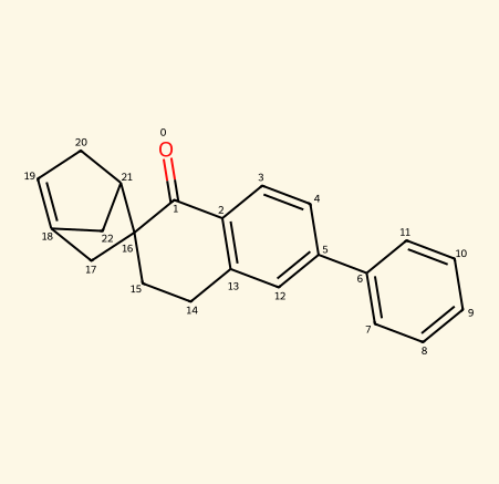 O=C1c2ccc(-c3ccccc3)cc2CCC12CC1=CCC2C1